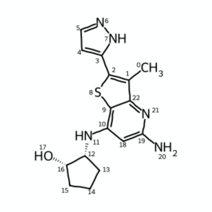 Cc1c(-c2ccn[nH]2)sc2c(N[C@@H]3CCC[C@@H]3O)cc(N)nc12